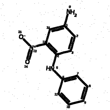 Nc1ccc(Nc2ccccc2)c([N+](=O)[O-])c1